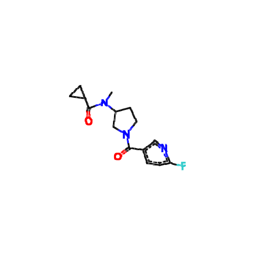 CN(C(=O)C1CC1)C1CCN(C(=O)c2ccc(F)nc2)C1